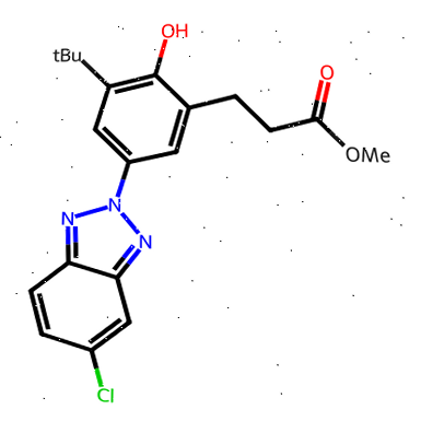 COC(=O)CCc1cc(-n2nc3ccc(Cl)cc3n2)cc(C(C)(C)C)c1O